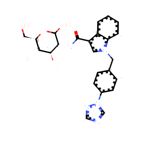 O=C(N[C@H]1C(O)O[C@H](CO)[C@@H](O)[C@@H]1O)c1cn(Cc2ccc(-n3cncn3)cc2)c2ccccc12